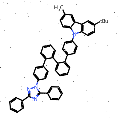 Cc1ccc2c(c1)c1cc(C(C)(C)C)ccc1n2-c1ccc(-c2ccccc2-c2ccccc2-c2ccc(-n3nc(-c4ccccc4)nc3-c3ccccc3)cc2)cc1